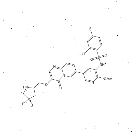 COc1ncc(-c2ccc3ncc(OCC4CC(F)(F)CN4)c(=O)n3c2)cc1NS(=O)(=O)c1ccc(F)cc1Cl